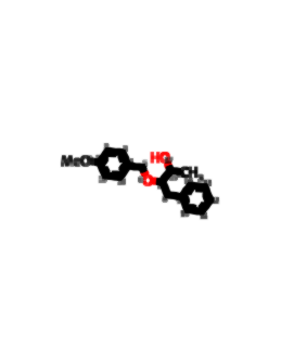 COc1ccc(COC(Cc2ccccc2)C(C)O)cc1